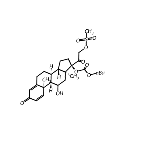 CCCCOC(=O)O[C@]1(C(=O)COS(C)(=O)=O)CC[C@H]2[C@@H]3CCC4=CC(=O)C=C[C@]4(C)[C@H]3C(O)C[C@@]21C